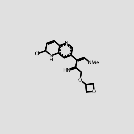 CN/C=C(\C(=N)COC1COC1)c1cnc2c(c1)NC(Cl)C=C2